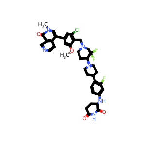 COc1cc(-c2cn(C)c(=O)c3cnccc23)cc(Cl)c1CN1CCC(N2CCC(c3ccc(NC4CCC(=O)NC4=O)cc3F)CC2)C(F)(F)C1